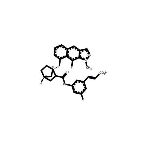 Cn1ncc2cc3cccc(C[C@]45CC[C@@H](CC4C(=O)Nc4cc(F)cc(/C=C/C(=O)O)c4)C5)c3c(F)c21